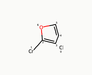 [C].[Cr][c]1ccco1